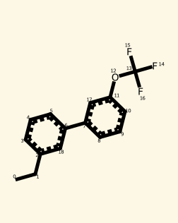 CCc1cccc(-c2cccc(OC(F)(F)F)c2)c1